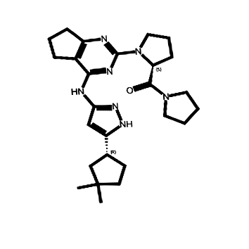 CC1(C)CC[C@@H](c2cc(Nc3nc(N4CCC[C@H]4C(=O)N4CCCC4)nc4c3CCC4)n[nH]2)C1